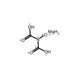 O=C(O)N(Cl)C(=O)O.[MgH2]